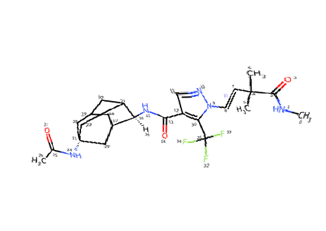 CNC(=O)C(C)(C)/C=C/n1ncc(C(=O)N[C@H]2C3CC4CC2C[C@](NC(C)=O)(C4)C3)c1C(F)(F)F